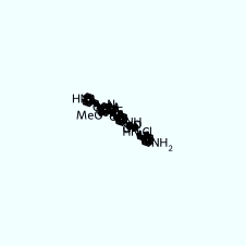 COc1cc2c(Oc3ccc(NC(=O)C(=O)NCCc4ccc(N)cc4Cl)cc3F)ccnc2cc1OCC1CCNCC1